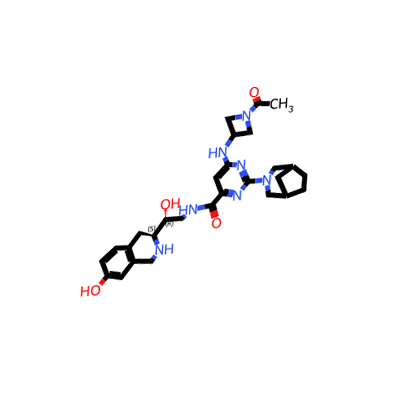 CC(=O)N1CC(Nc2cc(C(=O)NC[C@@H](O)[C@@H]3Cc4ccc(O)cc4CN3)nc(N3CC4CCC(C4)C3)n2)C1